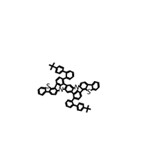 CC(C)(C)c1ccc(-c2ccccc2-c2ccc3c4c5sc6ccccc6c5ccc4n4c5cc6c7c(-c8ccccc8-c8ccc(C(C)(C)C)cc8)ccc8c9c%10sc%11ccccc%11c%10ccc9n(c6cc5c2c34)c87)cc1